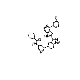 O=C(Nc1cncc(-c2ccc3[nH]nc(-c4cc5c(-c6cccc(F)c6)nccc5[nH]4)c3c2)c1)C1CCCCC1